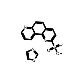 O=S(=O)(O)c1ccc2ccc3ncccc3c2n1.c1cscn1